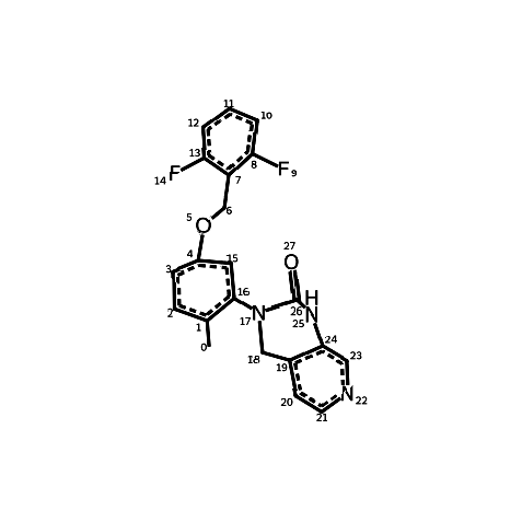 Cc1ccc(OCc2c(F)cccc2F)cc1N1Cc2ccncc2NC1=O